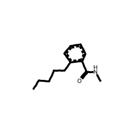 CCCCCc1ccccc1C(=O)NC